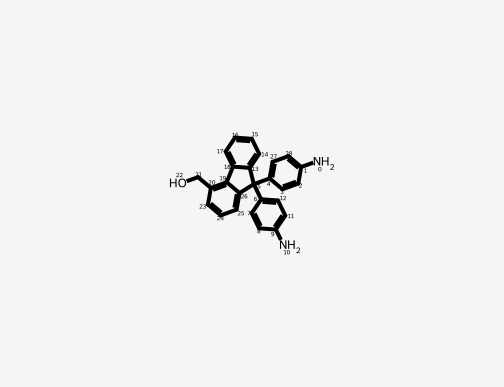 Nc1ccc(C2(c3ccc(N)cc3)c3ccccc3-c3c(CO)cccc32)cc1